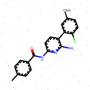 COc1ccc(Cl)c(-c2ccc(NC(=O)c3ccc(C)cc3)nc2N)c1